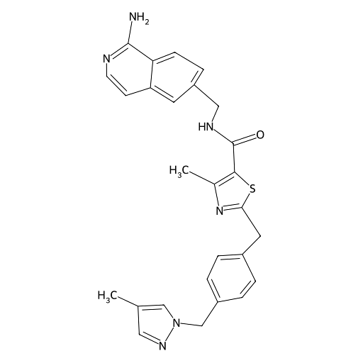 Cc1cnn(Cc2ccc(Cc3nc(C)c(C(=O)NCc4ccc5c(N)nccc5c4)s3)cc2)c1